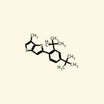 Cc1csc2cc(-c3ccc(C(C)(C)C)cc3C(C)(C)C)sc12